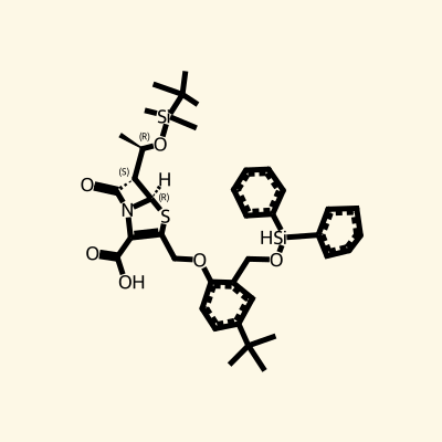 C[C@@H](O[Si](C)(C)C(C)(C)C)[C@H]1C(=O)N2C(C(=O)O)=C(COc3ccc(C(C)(C)C)cc3CO[SiH](c3ccccc3)c3ccccc3)S[C@H]12